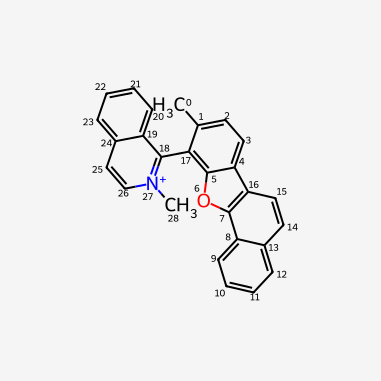 Cc1ccc2c(oc3c4ccccc4ccc23)c1-c1c2ccccc2cc[n+]1C